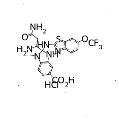 CN1c2ccc(C(=O)O)cc2NC1(Nc1nc2ccc(OC(F)(F)F)cc2s1)C(N)CC(N)=O.Cl